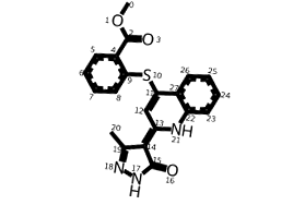 COC(=O)c1ccccc1SC1=C/C(=C2/C(=O)NN=C2C)Nc2ccccc21